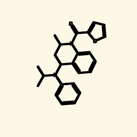 CC1CC(N(c2ccccc2)C(C)C)c2ccccc2N1C(=O)c1ccco1